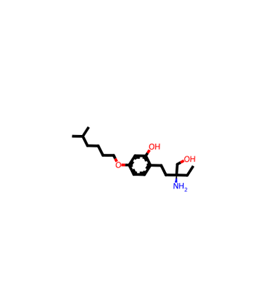 CC[C@@](N)(CO)CCc1ccc(OCCCCC(C)C)cc1O